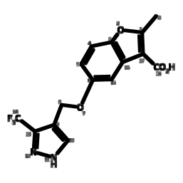 Cc1oc2ccc(OCc3c[nH]nc3C(F)(F)F)cc2c1C(=O)O